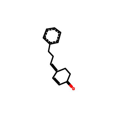 O=C1C=CC(=CCCc2ccccc2)CC1